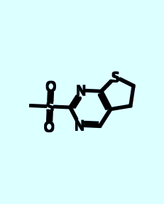 CS(=O)(=O)c1ncc2c(n1)SCC2